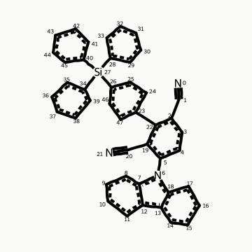 N#Cc1ccc(-n2c3ccccc3c3ccccc32)c(C#N)c1-c1ccc([Si](c2ccccc2)(c2ccccc2)c2ccccc2)cc1